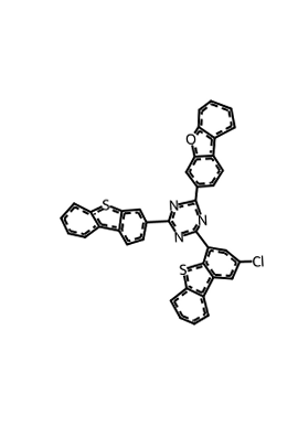 Clc1cc(-c2nc(-c3ccc4c(c3)oc3ccccc34)nc(-c3ccc4c(c3)sc3ccccc34)n2)c2sc3ccccc3c2c1